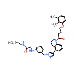 Cc1cccc(OCCCC(=O)N2CCCc3c(-c4cnn(Cc5cccc(NCC(=O)NCCS(=O)(=O)O)c5)c4)cccc32)c1C